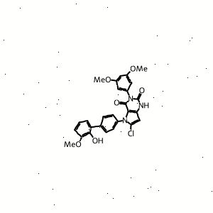 COc1cc(OC)cc(-n2c(=O)[nH]c3cc(Cl)n(-c4ccc(-c5cccc(OC)c5O)cc4)c3c2=O)c1